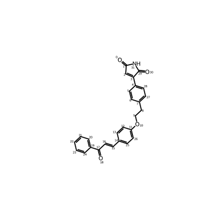 O=C1C=C(c2ccc(CCOc3ccc(C=CC(=O)c4ccccc4)cc3)cc2)C(=O)N1